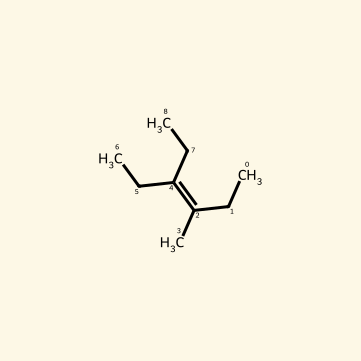 CCC(C)=C(CC)CC